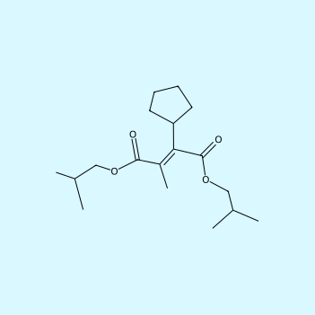 CC(C(=O)OCC(C)C)=C(C(=O)OCC(C)C)C1CCCC1